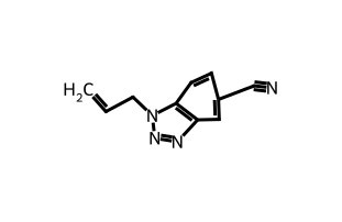 C=CCn1nnc2cc(C#N)ccc21